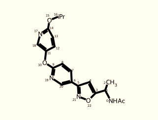 CC(=O)NC(C)c1cc(-c2ccc(Oc3ccc(OC(C)C)nc3)nc2)no1